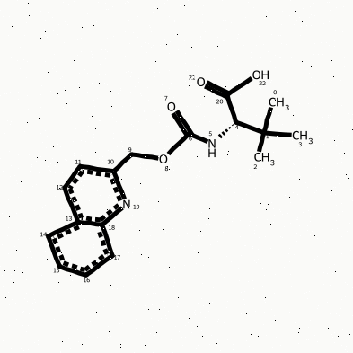 CC(C)(C)[C@H](NC(=O)OCc1ccc2ccccc2n1)C(=O)O